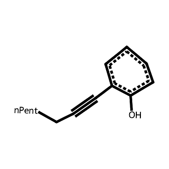 CCCCCCC#Cc1ccccc1O